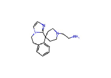 NCCN1CCC2(CC1)c1ccccc1CCn1ccnc12